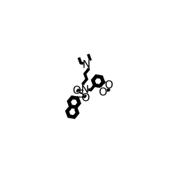 CCN(CC)CCCCN(Cc1cccc2c1OCO2)S(=O)(=O)c1ccc2ccccc2c1